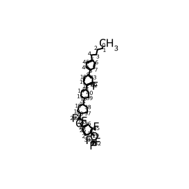 CCCCCc1ccc(-c2ccc(C3CCC(C4CCC(C(F)(F)Oc5ccc(OC(F)(F)F)c(F)c5)CC4)CC3)c(F)c2)cc1